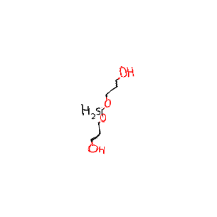 OCCCO[SiH2]OCCCO